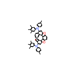 Cc1ccc(N(c2cc(C)c(C)c(C)c2)c2cc3oc4ccc5oc6cc(N(c7ccc(C)cc7)c7cc(C)c(C)c(C)c7)c7ccccc7c6c5c4c3c3ccccc23)cc1